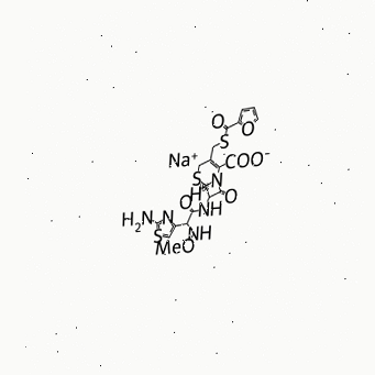 CONC(C(=O)NC1C(=O)N2C(C(=O)[O-])=C(CSC(=O)c3ccco3)CS[C@@H]12)c1csc(N)n1.[Na+]